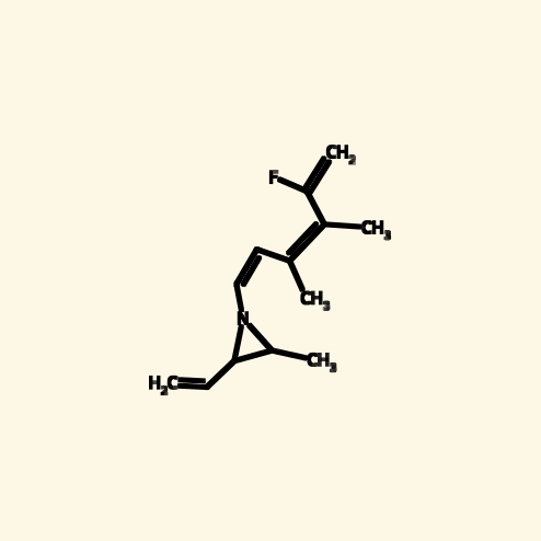 C=CC1C(C)N1/C=C\C(C)=C(\C)C(=C)F